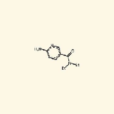 CCN(CC)C(=O)c1ccc(N)nc1